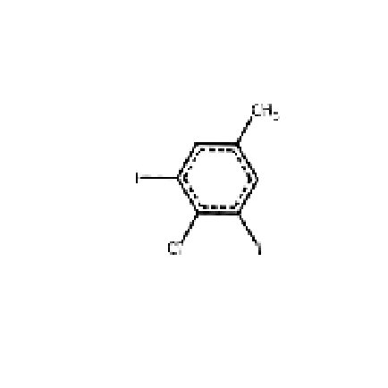 Cc1cc(I)c(Cl)c(I)c1